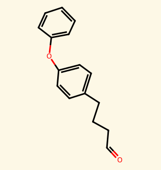 O=CCCCc1ccc(Oc2ccccc2)cc1